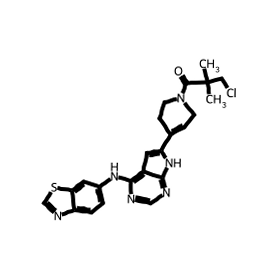 CC(C)(CCl)C(=O)N1CC=C(c2cc3c(Nc4ccc5ncsc5c4)ncnc3[nH]2)CC1